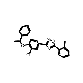 Cc1ccccc1-c1nc(-c2ccc(OC(C)c3ccccc3)c(Cl)c2)no1